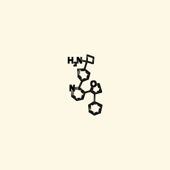 NC1(c2ccc(-c3ncccc3-c3occc3-c3ccccc3)cc2)CCC1